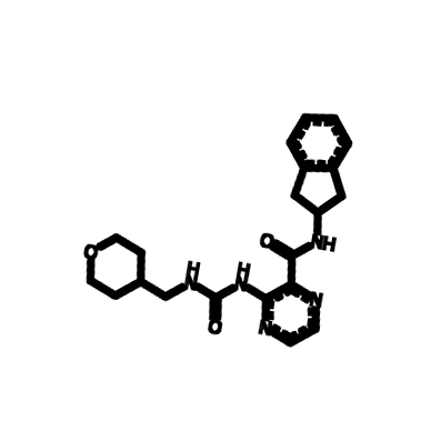 O=C(NCC1CCOCC1)Nc1nccnc1C(=O)NC1Cc2ccccc2C1